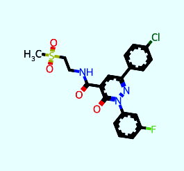 CS(=O)(=O)CCNC(=O)c1cc(-c2ccc(Cl)cc2)nn(-c2cccc(F)c2)c1=O